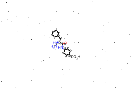 NN[C@@H](Cc1ccccc1)C(=O)Nc1ccc(C(=O)O)cc1